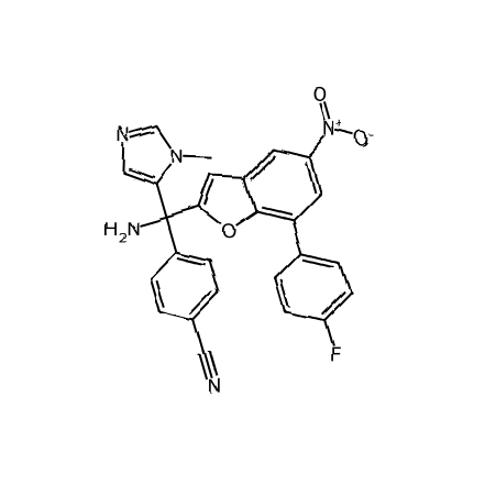 Cn1cncc1C(N)(c1ccc(C#N)cc1)c1cc2cc([N+](=O)[O-])cc(-c3ccc(F)cc3)c2o1